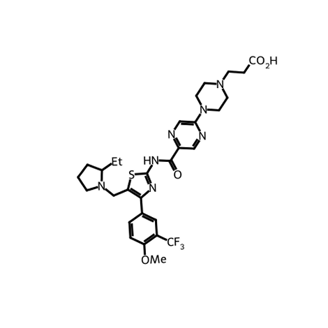 CCC1CCCN1Cc1sc(NC(=O)c2cnc(N3CCN(CCC(=O)O)CC3)cn2)nc1-c1ccc(OC)c(C(F)(F)F)c1